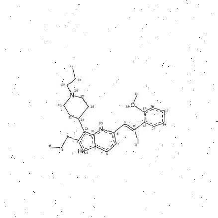 CCCc1[nH]c2ccc(C=C(I)c3ccccc3OC)nc2c1C1CCN(CCC)CC1